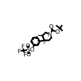 C[C@H]1CN(C(=O)OC(C)(C)C)CC[C@@]1(C)c1cccc(OS(=O)(=O)C(F)(F)F)c1